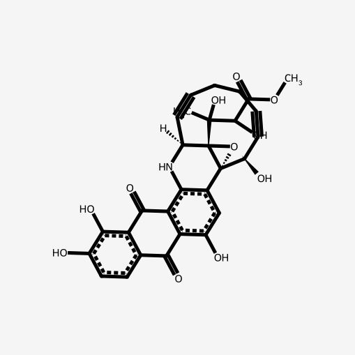 COC(=O)C(O)C(C)(O)[C@@]12O[C@]13c1cc(O)c4c(c1N[C@H]2C#CCCC#C[C@H]3O)C(=O)c1c(ccc(O)c1O)C4=O